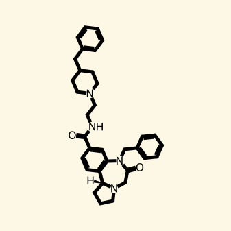 O=C(NCCN1CCC(Cc2ccccc2)CC1)c1ccc2c(c1)N(Cc1ccccc1)C(=O)CN1CCC[C@H]21